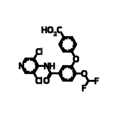 O=C(O)c1ccc(Oc2cc(C(=O)Nc3c(Cl)cncc3Cl)ccc2OC(F)F)cc1